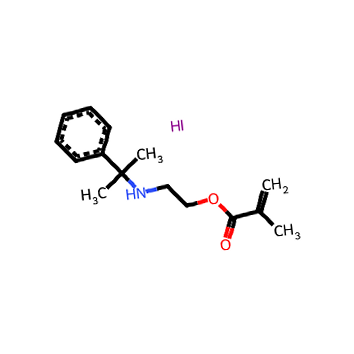 C=C(C)C(=O)OCCNC(C)(C)c1ccccc1.I